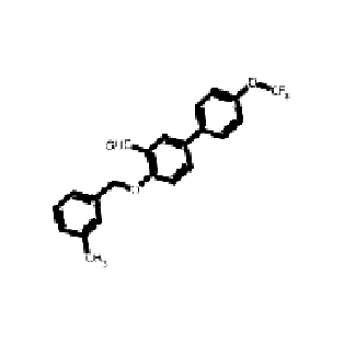 Cc1cccc(COc2ccc(-c3ccc(OC(F)(F)F)cc3)cc2C=O)c1